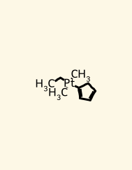 C[CH2][Pt]([CH3])([CH3])[C]1=CC=CC1